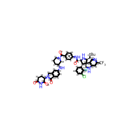 CC(C)(C)C[C@@H]1N[C@@H](C(=O)NC23CCC(C(=O)N4CCC[C@@H](Nc5ccc6c(c5)CN(C5CCC(=O)NC5=O)C6=O)C4)(CC2)CC3)[C@H](c2cccc(Cl)c2F)[C@]12CNc1cc(C(F)(F)F)ncc12